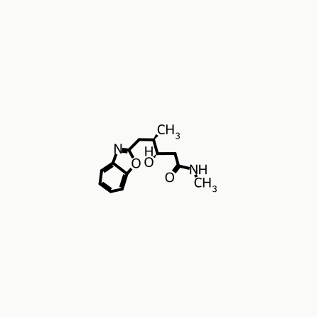 CNC(=O)C[C@H](O)[C@H](C)Cc1nc2ccccc2o1